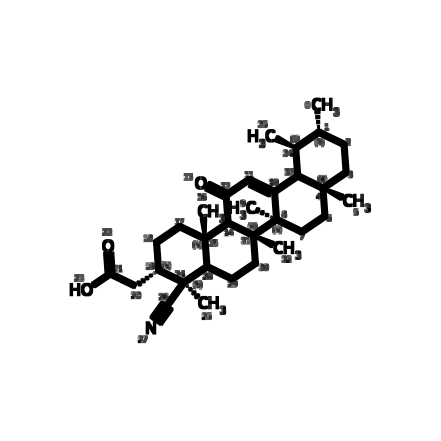 C[C@@H]1CC[C@]2(C)CC[C@]3(C)C(=CC(=O)C4[C@@]5(C)CC[C@@H](CC(=O)O)[C@](C)(C#N)C5CC[C@]43C)C2[C@H]1C